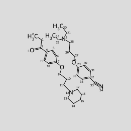 CCC(=O)c1ccc(OCCCN2CCCCC2)cc1.CCN(CC)CCCOc1ccc(C#N)cc1